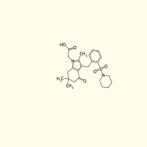 Cc1c(Cc2ccccc2S(=O)(=O)N2CCCCC2)c2c(n1CC(=O)O)CC(C)(C)CC2=O